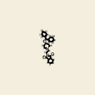 O=C1C2CC=CCC2C(=O)N1CCN1CCC(OC(c2ccccc2)c2ccccc2)CC1